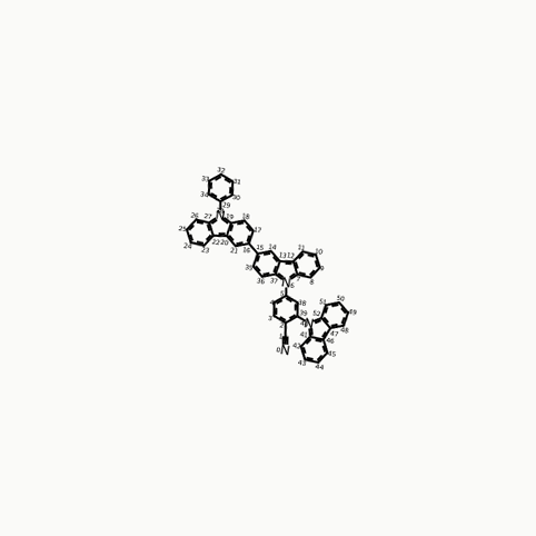 N#Cc1ccc(-n2c3ccccc3c3cc(-c4ccc5c(c4)c4ccccc4n5-c4ccccc4)ccc32)cc1-n1c2ccccc2c2ccccc21